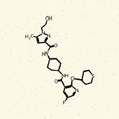 Cc1cc(C(=O)NC2CCC(NC(=O)c3cc(F)cnc3OC3CCSCC3)CC2)nn1CCO